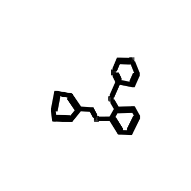 c1ccc(COc2ccccc2Oc2ccncn2)cc1